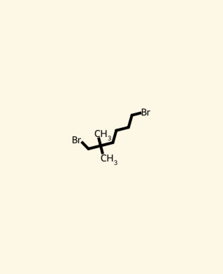 CC(C)(CBr)CCCCBr